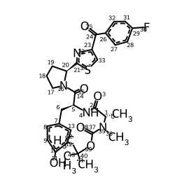 C[C@@H](C(=O)N[C@@H](Cc1ccc(O)cc1)C(=O)N1CCC[C@H]1c1nc(C(=O)c2ccc(F)cc2)cs1)N(C)C(=O)OC(C)(C)C